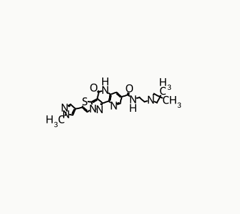 Cn1cc(-c2cn3nc4c5ncc(C(=O)NCCN6CC(C)(C)C6)cc5[nH]c(=O)c4c3s2)cn1